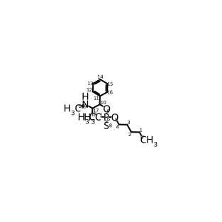 CCCCCOP(C)(=S)OC(c1ccccc1)C(C)NC